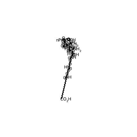 CCCNC(=O)[C@H](Cc1ccc(O)cc1)NC(=O)[C@H](CCC(N)=O)NC(=O)[C@H](CCN(C)C)NC(=O)[C@H](CO)NC(=O)[C@H](CCC(N)=O)NC(=O)[C@@H](CO)NC(=O)CNC(=O)COCCOCCNC(=O)COCCOCCNC(=O)CCCCCCCCCCCCCCCCCCC(=O)O